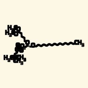 CCCCCCCCCCCCCCCCOC[C@H](COP(=O)([O-])OCC[N+](C)(C)C)OCCCCC(OC)OC